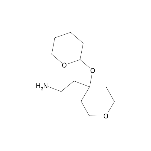 NCCC1(OC2CCCCO2)CCOCC1